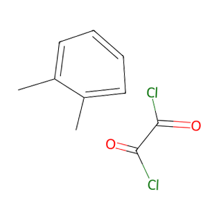 Cc1ccccc1C.O=C(Cl)C(=O)Cl